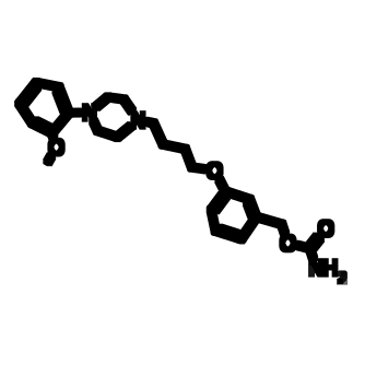 COc1ccccc1N1CCN(CCCCOc2cccc(COC(N)=O)c2)CC1